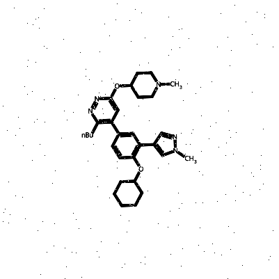 CCCCc1nnc(OC2CCN(C)CC2)cc1-c1ccc(OC2CCCCC2)c(-c2cnn(C)c2)c1